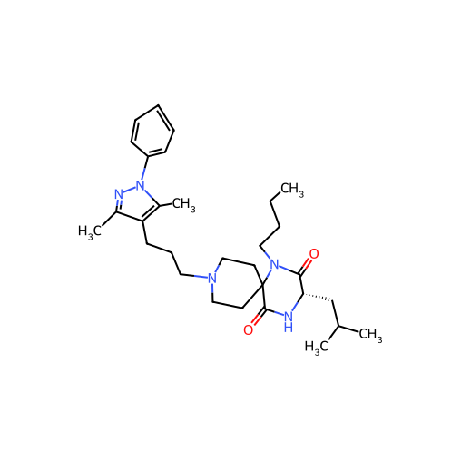 CCCCN1C(=O)[C@H](CC(C)C)NC(=O)C12CCN(CCCc1c(C)nn(-c3ccccc3)c1C)CC2